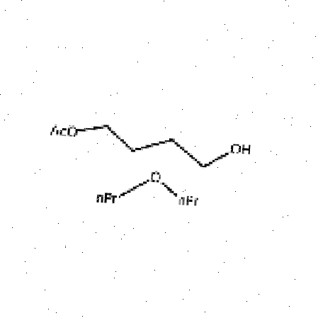 CC(=O)OCCCCO.CCCOCCC